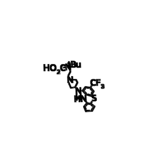 CC(C)(C)N(CCN1CCC(Nc2cc(C(F)(F)F)cc3c2Nc2ccccc2S3)CC1)C(=O)O